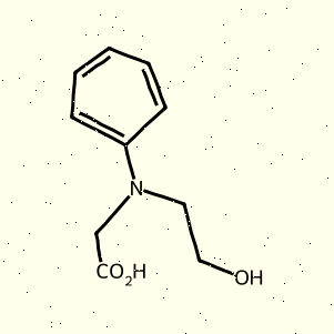 O=C(O)CN(CCO)c1ccccc1